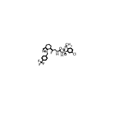 COc1ccc(Cl)cc1S(=O)(=O)NC(=O)NCC(F)=C1CCCc2cnn(Cc3ccc(C(F)(F)F)cc3)c21